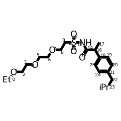 CCOCCOCCOCCS(=O)(=O)NC(=O)C(C)c1ccc(CC(C)C)cc1